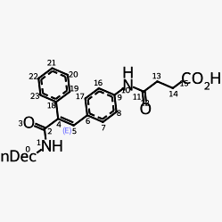 CCCCCCCCCCNC(=O)/C(=C/c1ccc(NC(=O)CCC(=O)O)cc1)c1ccccc1